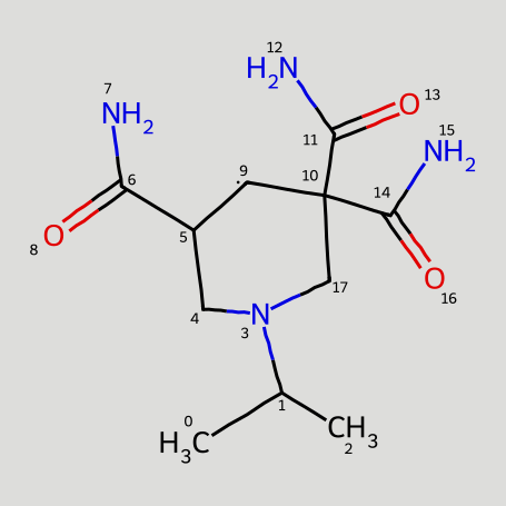 CC(C)N1CC(C(N)=O)[CH]C(C(N)=O)(C(N)=O)C1